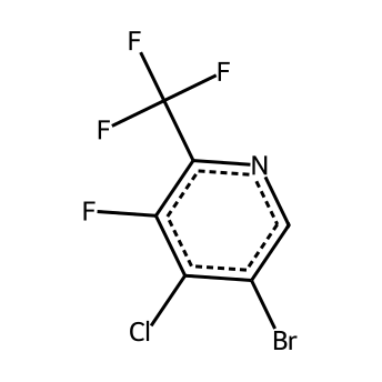 Fc1c(C(F)(F)F)ncc(Br)c1Cl